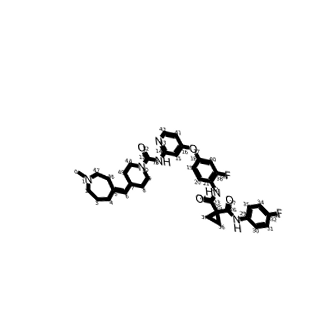 CN1CCC/C(=C/C2CCN(C(=O)Nc3cc(Oc4ccc(NC(=O)C5(C(=O)Nc6ccc(F)cc6)CC5)c(F)c4)ccn3)CC2)CC1